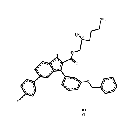 Cl.Cl.NCCC[C@H](N)CNC(=O)c1[nH]c2ccc(-c3ccc(F)cc3)cc2c1-c1cccc(OCc2ccccc2)c1